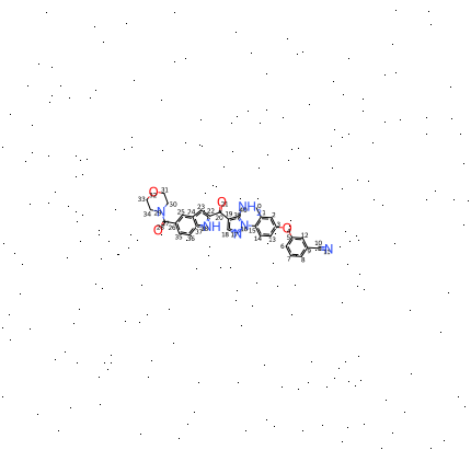 Cc1cc(Oc2cccc(C#N)c2)ccc1-n1ncc(C(=O)c2cc3cc(C(=O)N4CCOCC4)ccc3[nH]2)c1N